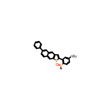 CCCCc1ccc([S+](C)[O-])c(-c2cc3cc4cc(-c5ccccc5)ccc4cc3s2)c1